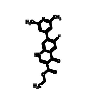 CCOC(=O)c1c[nH]c2cc(-c3cc(C)nc(C)c3)c(F)cc2c1=O